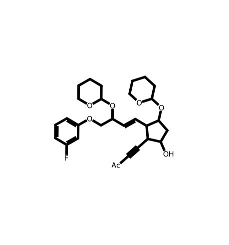 CC(=O)C#CC1C(O)CC(OC2CCCCO2)C1C=CC(COc1cccc(F)c1)OC1CCCCO1